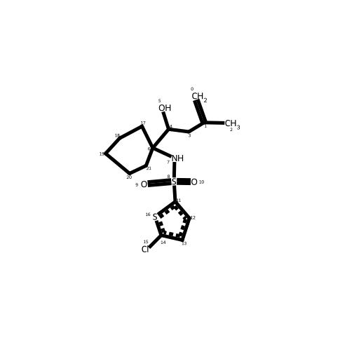 C=C(C)CC(O)C1(NS(=O)(=O)c2ccc(Cl)s2)CCCCC1